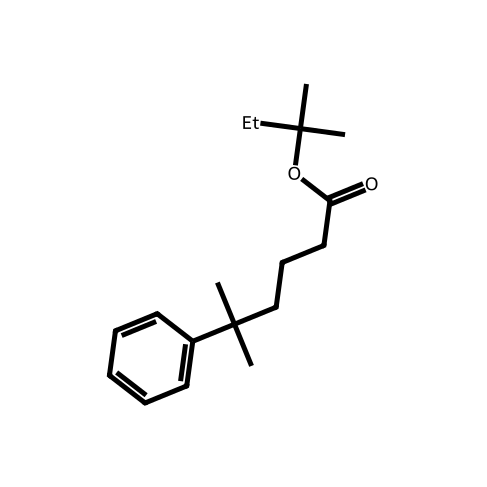 CCC(C)(C)OC(=O)CCCC(C)(C)c1ccccc1